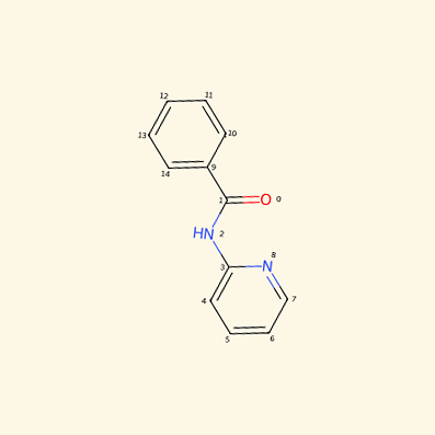 O=C(Nc1ccccn1)c1[c]cccc1